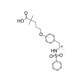 C[C@@H](Cc1ccc(OCCCC(C)(C)C(=O)O)cc1)NS(=O)(=O)c1ccccc1